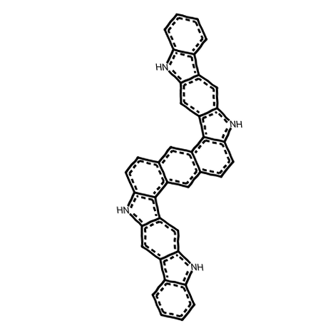 c1ccc2c(c1)[nH]c1cc3c(cc12)[nH]c1ccc2cc4c(ccc5[nH]c6cc7c(cc6c54)[nH]c4ccccc47)cc2c13